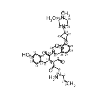 C=CCN(N)CC(=O)N(C=O)[C@@H](Cc1ccc(O)cc1)C(=O)N(CC)Cc1cccc(N2CC(N3CCN(C)[C@@H](C)C3)C2)n1